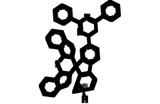 C1=C[C@H]2C=C2C2=C1c1ccc(C3CC(c4ccccc4)=NC(c4ccccc4)=N3)cc1C21c2ccc3ccccc3c2Sc2c1ccc1ccccc21